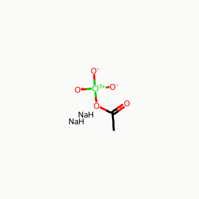 CC(=O)O[Cl+3]([O-])([O-])[O-].[NaH].[NaH]